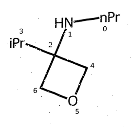 CCCNC1(C(C)C)COC1